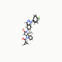 C[C@@]1(c2ccccc2)[C@@H](NC(=O)C2CC2)CC(=O)N1c1ccc2c(cnn2-c2ccc(F)cc2)c1